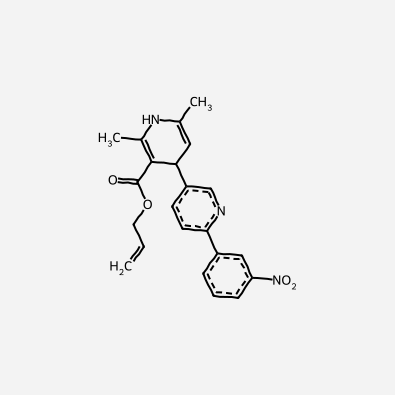 C=CCOC(=O)C1=C(C)NC(C)=CC1c1ccc(-c2cccc([N+](=O)[O-])c2)nc1